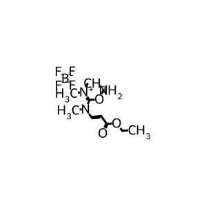 CCOC(=O)C=CN(C)C(ON)=[N+](C)C.F[B-](F)(F)F